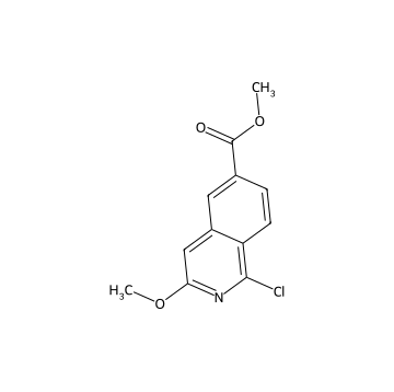 COC(=O)c1ccc2c(Cl)nc(OC)cc2c1